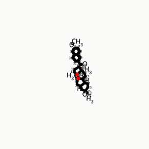 COc1ccc2cc(C(=O)[C@H]3CC[C@@]4(C)[C@@H]5CC[C@H]6C[C@](C)(O)CC[C@@H]6[C@H]5CC[C@]34C)ccc2c1